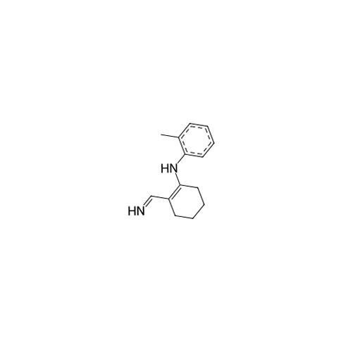 Cc1ccccc1NC1=C(C=N)CCCC1